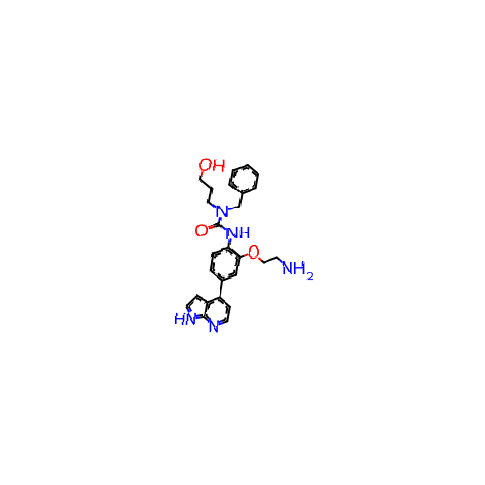 NCCOc1cc(-c2ccnc3[nH]ccc23)ccc1NC(=O)N(CCCO)Cc1ccccc1